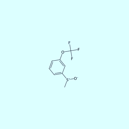 C[S+]([O-])c1cccc(OC(F)(F)F)c1